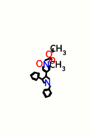 CCOC(=O)Cn1c(C)cc(C2CN(Cc3ccccc3)CC2c2ccccc2)cc1=O